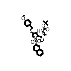 COc1ccc(CSC2CC(C(=O)N(C)NC(=O)OC(C)(C)C)N(S(=O)(=O)c3ccc4ccccc4c3)C2)cc1